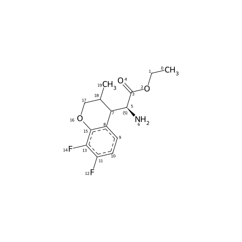 CCOC(=O)[C@@H](N)C1c2ccc(F)c(F)c2OCC1C